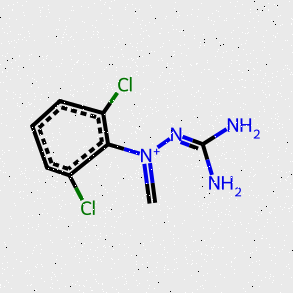 C=[N+](N=C(N)N)c1c(Cl)cccc1Cl